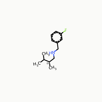 CC(C)[C@H](C)CNCc1cccc(F)c1